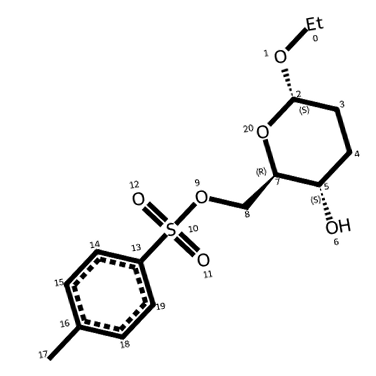 CCO[C@@H]1CC[C@H](O)[C@@H](COS(=O)(=O)c2ccc(C)cc2)O1